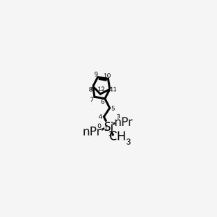 CCC[Si](C)(CCC)CCC1CC2C=CC1C2